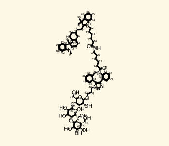 CN1/C(=C/C=C2C=C(/C=C/C3=[N+](CCCCCC(=O)NCCCCCC(=O)N4Cc5ccccc5-c5c(nnn5CCCOC5O[C@H](CO)[C@@H](OC6O[C@H](CO)[C@@H](OC7O[C@H](CO)[C@@H](O)[C@@H](O)[C@H]7O)[C@@H](O)[C@H]6O)[C@@H](O)[C@H]5O)-c5ccccc54)c4ccccc4C3(C)C)CCC/2)C(C)(C)c2ccccc21